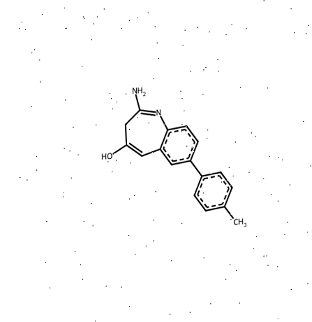 Cc1ccc(-c2ccc3c(c2)C=C(O)CC(N)=N3)cc1